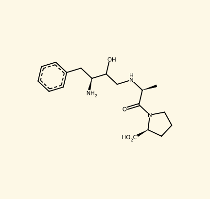 C[C@H](NCC(O)[C@@H](N)Cc1ccccc1)C(=O)N1CCC[C@H]1C(=O)O